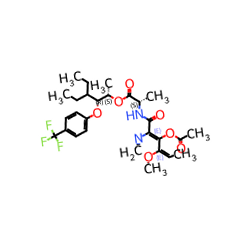 C=N/C(C(=O)N[C@@H](C)C(=O)O[C@@H](C)[C@H](Oc1ccc(C(F)(F)F)cc1)C(CC)CC)=C(OC(C)=O)\C(=C/C)OC